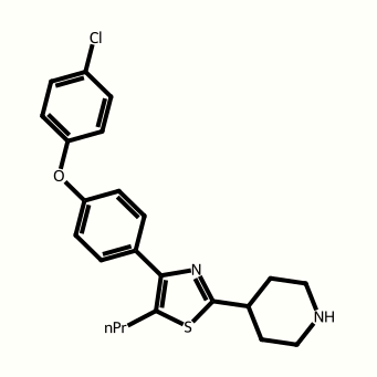 CCCc1sc(C2CCNCC2)nc1-c1ccc(Oc2ccc(Cl)cc2)cc1